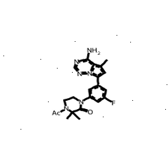 CC(=O)N1CCN(c2cc(F)cc(-c3cc(C)c4c(N)ncnn34)c2)C(=O)C1(C)C